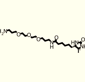 C[C@@H]1NC(=O)N[C@@H]1CCCCCC(=O)NCCCOCCOCCOCCCN